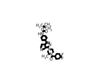 CC1CN(c2nnc(-c3ccc(NC(=O)OC(C)(C)C)cc3)c3ccncc23)CCN1C(=O)C1CCC(F)(F)CC1